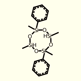 C[SiH]1O[Si](C)(c2ccccc2)O[SiH](C)O[Si](C)(c2ccccc2)O1